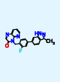 Cc1n[nH]c2cc(-c3ccc(Cn4c(=O)cnc5cccnc54)c(F)c3)ccc12